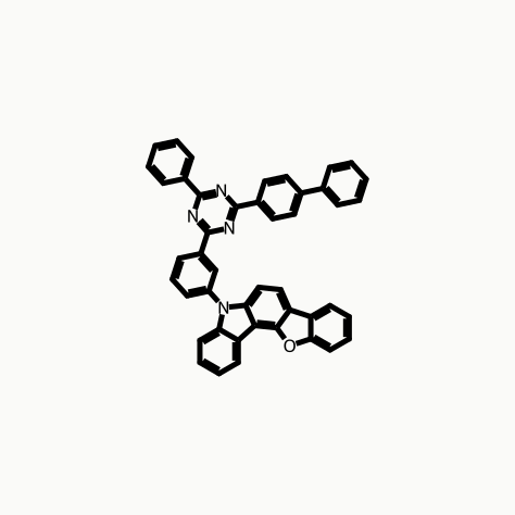 c1ccc(-c2ccc(-c3nc(-c4ccccc4)nc(-c4cccc(-n5c6ccccc6c6c7oc8ccccc8c7ccc65)c4)n3)cc2)cc1